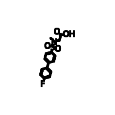 CN(CC(=O)O)S(=O)(=O)c1ccc(-c2ccc(F)cc2)cc1